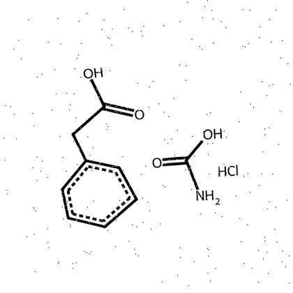 Cl.NC(=O)O.O=C(O)Cc1ccccc1